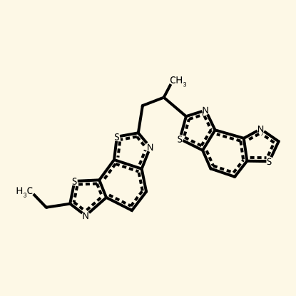 CCc1nc2ccc3nc(CC(C)c4nc5c(ccc6scnc65)s4)sc3c2s1